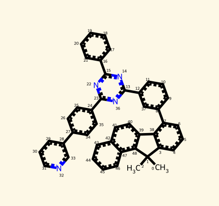 CC1(C)c2cccc(-c3cccc(-c4nc(-c5ccccc5)nc(-c5ccc(-c6cccnc6)cc5)n4)c3)c2-c2ccc3ccccc3c21